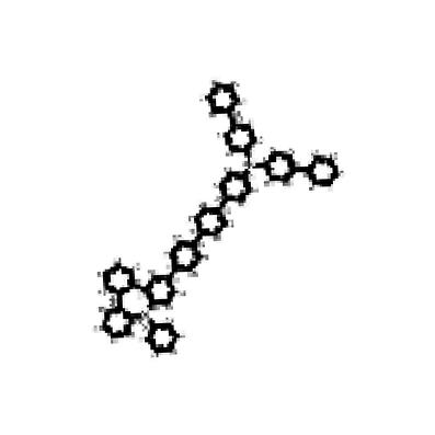 c1ccc(-c2ccc(N(c3ccc(-c4ccccc4)cc3)c3ccc(-c4ccc(-c5ccc(-c6ccc7c(c6)-c6ccccc6-c6ccccc6N7c6ccccc6)cc5)cc4)cc3)cc2)cc1